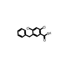 O=C(S)c1cc(Cc2ccccc2)c(Cl)cc1Cl